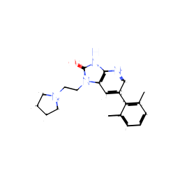 Cc1cccc(C)c1-c1cnc2[nH]c(=O)n(CCN3CCCC3)c2c1